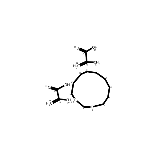 C1CCCCCCCCCCC1.C=C(C)C(=O)O.C=C(C)C(=O)O